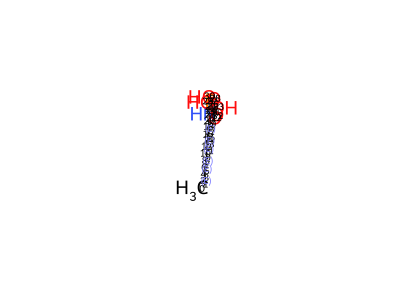 CC/C=C/C/C=C/C/C=C/C/C=C/C/C=C/C/C=C/CCC(=O)N[C@@H](COP(=O)(O)O)C(=O)O